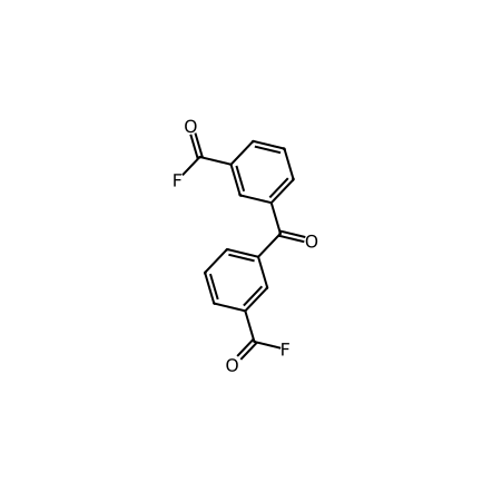 O=C(F)c1cccc(C(=O)c2cccc(C(=O)F)c2)c1